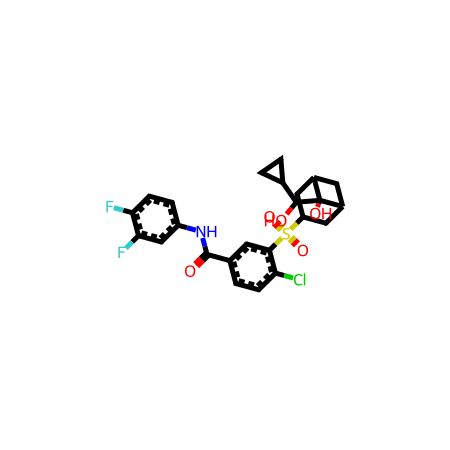 O=C(Nc1ccc(F)c(F)c1)c1ccc(Cl)c(S(=O)(=O)C2CC3CC(C2)C3(O)C(O)C2CC2)c1